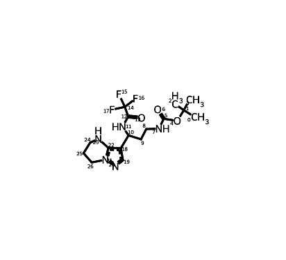 CC(C)(C)OC(=O)NCCC(NC(=O)C(F)(F)F)c1cnn2c1NCCC2